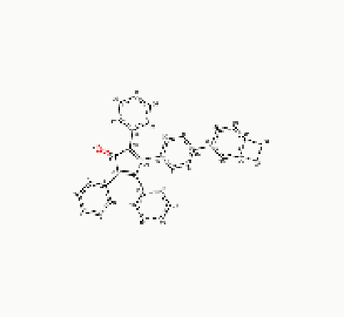 O=C1C(c2ccccc2)=C(c2ccccc2)C(c2ccc(-c3ccc4c(c3)CC4)cc2)=C1c1ccccc1